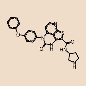 O=C(N[C@H]1CCNC1)c1sc2nccc3c2c1NC(=O)N3c1ccc(Oc2ccccc2)cc1